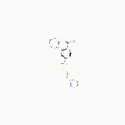 CC1CCN(c2cc(C(C)(C)OCCN3CCCC3)ccc2C(N)=O)CC1